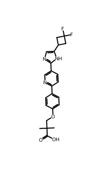 CC(C)(COc1ccc(-c2ccc(-c3ncc(C4CC(F)(F)C4)[nH]3)cn2)cc1)C(=O)O